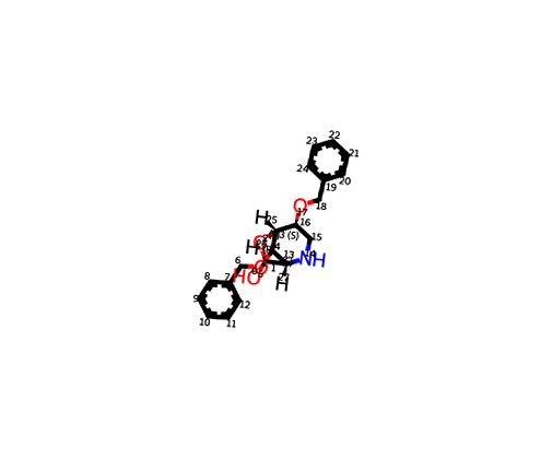 OC1O[C@H]2[C@H](OCc3ccccc3)[C@@H]1NC[C@@H]2OCc1ccccc1